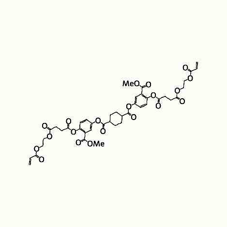 C=CC(=O)OCCOC(=O)CCC(=O)Oc1ccc(OC(=O)C2CCC(C(=O)Oc3ccc(OC(=O)CCC(=O)OCCOC(=O)C=C)c(C(=O)OC)c3)CC2)cc1C(=O)OC